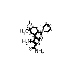 CC1(C)CCc2c(N3CCOCC3)nc3sc(C(N)=O)c(N)c3c2C1